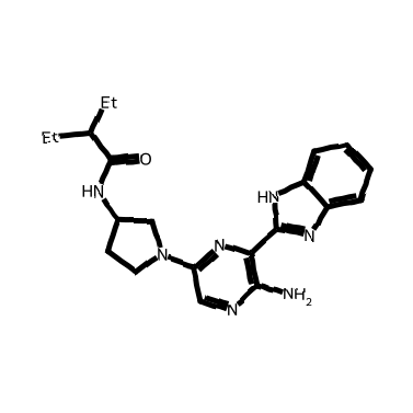 CCC(CC)C(=O)NC1CCN(c2cnc(N)c(-c3nc4ccccc4[nH]3)n2)C1